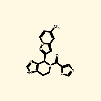 O=C(c1cnco1)N1CCc2[nH]cnc2C1c1cc2cc(C(F)(F)F)ccn2n1